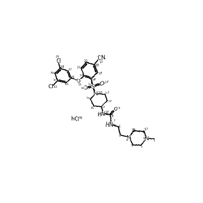 CN1CCN(CCNC(=O)NC2CCN(S(=O)(=O)c3cc(C#N)ccc3Oc3cc(Cl)cc(Cl)c3)CC2)CC1.Cl